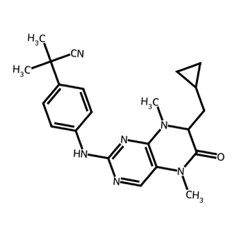 CN1C(=O)C(CC2CC2)N(C)c2nc(Nc3ccc(C(C)(C)C#N)cc3)ncc21